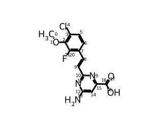 COc1c(Cl)ccc(C=Cc2nc(N)cc(C(=O)O)n2)c1F